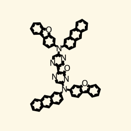 c1ccc2cc3cc(N(c4ccc5c(c4)oc4ccccc45)c4cnc5c(n4)oc4nc(N(c6ccc7cc8ccccc8cc7c6)c6ccc7c(c6)oc6ccccc67)cnc45)ccc3cc2c1